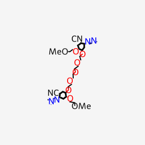 COCCOc1cc(N=CN(C)C)c(C#N)cc1OCCOCCOCCOCCOc1cc(N=CN(C)C)c(C#N)cc1OCCOC